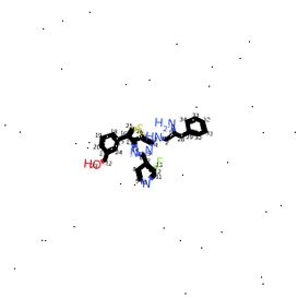 NC(CNc1nc(-c2ccncc2F)nc2c(-c3cccc(CO)c3)csc12)Cc1ccccc1